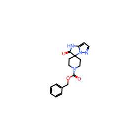 O=C(OCc1ccccc1)N1CCC2(CC1)C(=O)Nc1ccnn12